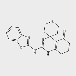 O=C1CCCC2=C1C1(CCSCC1)N=C(Nc1nc3ccccc3o1)N2